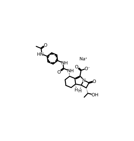 CC(=O)Nc1ccc(NC(=O)N[C@H]2CCC[C@H]3C2=C(C(=O)[O-])N2C(=O)[C@H](C(C)O)[C@@H]32)cc1.[Na+]